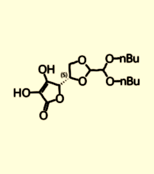 CCCCOC(OCCCC)C1OC[C@@H](C2OC(=O)C(O)=C2O)O1